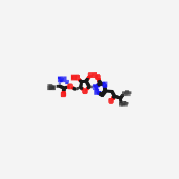 CCCC(CCC)C(=O)Cc1cnn([C@@H]2O[C@H](COC(=O)[C@@H](N)[C@@H](C)CC)C(O)C2O)c(=O)n1